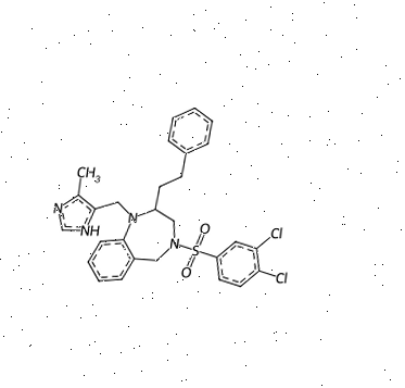 Cc1nc[nH]c1CN1c2ccccc2CN(S(=O)(=O)c2ccc(Cl)c(Cl)c2)CC1CCc1ccccc1